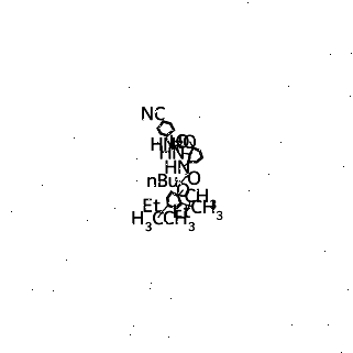 CCCCC(Oc1ccc(C(C)(C)CC)cc1C(C)(C)CC)C(=O)Nc1cccc(O)c1NC(=O)Nc1ccc(C#N)cc1